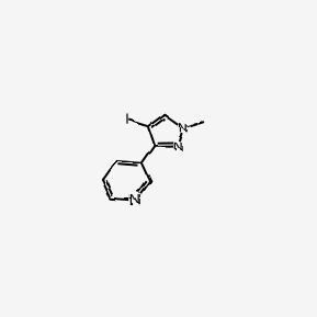 Cn1cc(I)c(-c2cccnc2)n1